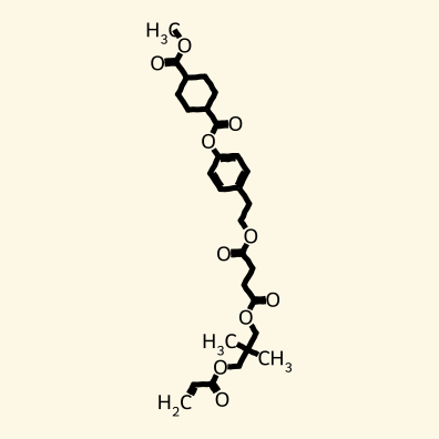 C=CC(=O)OCC(C)(C)COC(=O)CCC(=O)OCCc1ccc(OC(=O)C2CCC(C(=O)OC)CC2)cc1